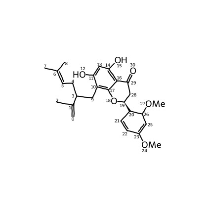 C=C(C)C(CC=C(C)C)Cc1c(O)cc(O)c2c1O[C@H](C1C=CC(OC)=CC1OC)CC2=O